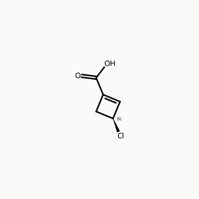 O=C(O)C1=C[C@@H](Cl)C1